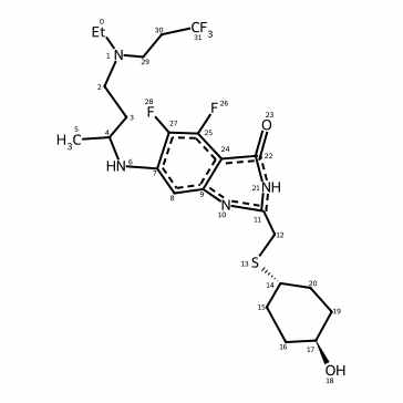 CCN(CCC(C)Nc1cc2nc(CS[C@H]3CC[C@H](O)CC3)[nH]c(=O)c2c(F)c1F)CCC(F)(F)F